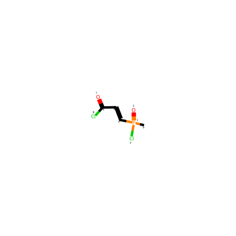 CP(=O)(Cl)/C=C/C(=O)Cl